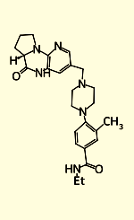 CCNC(=O)c1ccc(N2CCN(Cc3cnc4c(c3)NC(=O)[C@@H]3CCCN43)CC2)c(C)c1